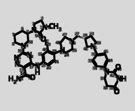 CN1CCN([C@@H]2CCCN(c3nnc(C(N)=O)c(Nc4ccc(N5CCN(C[C@@H]6CCN(c7ccc(N8CCC(=O)NC8=O)cc7)C6)CC5)c(F)c4)n3)C2)C1=O